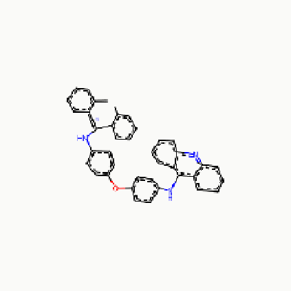 C=c1cccc/c1=C(\Nc1ccc(Oc2ccc(Nc3c4ccccc4nc4ccccc34)cc2)cc1)c1ccccc1C